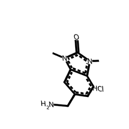 Cl.Cn1c(=O)n(C)c2cc(CN)ccc21